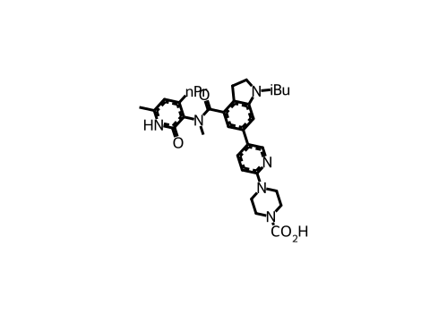 CCCc1cc(C)[nH]c(=O)c1N(C)C(=O)c1cc(-c2ccc(N3CCN(C(=O)O)CC3)nc2)cc2c1CCN2C(C)CC